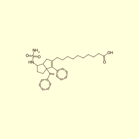 C=C(c1ccccc1)C12CCC(NS(N)(=O)=O)C1CC(CCCCCCCCCC(=O)O)=C2c1ccccc1